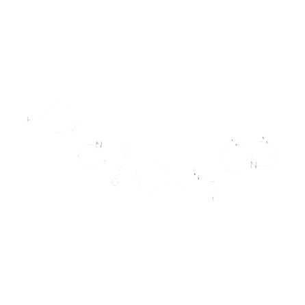 O=C(NCc1ccc(S(=O)(=O)c2csc(-c3cccc(F)c3)n2)cc1)c1cnc2nccn2c1